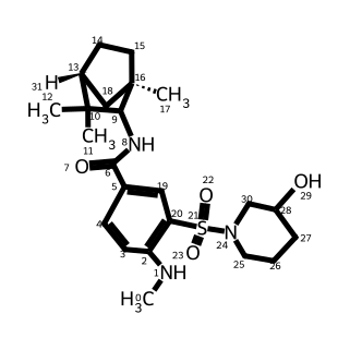 CNc1ccc(C(=O)NC2C(C)(C)[C@@H]3CC[C@]2(C)C3)cc1S(=O)(=O)N1CCCC(O)C1